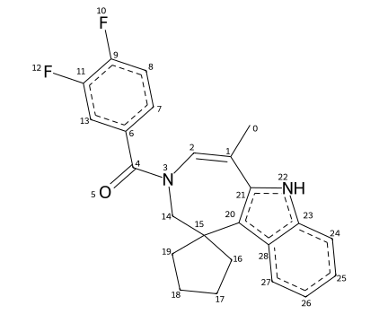 CC1=CN(C(=O)c2ccc(F)c(F)c2)CC2(CCCC2)c2c1[nH]c1ccccc21